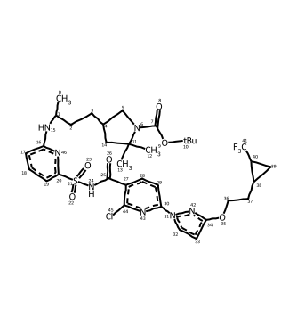 CC(CCC1CN(C(=O)OC(C)(C)C)C(C)(C)C1)Nc1cccc(S(=O)(=O)NC(=O)c2ccc(-n3ccc(OCCC4CC4C(F)(F)F)n3)nc2Cl)n1